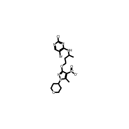 Cc1c([N+](=O)[O-])c(OCCC(C)Nc2nc(Cl)ncc2Br)nn1C1CCOCC1